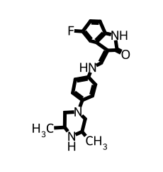 CC1CN(c2ccc(N/C=C3/C(=O)Nc4ccc(F)cc43)cc2)CC(C)N1